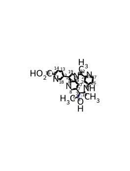 CC(=N)/C(=C(/C)O)c1cnc2c(-c3ccc(C(=O)O)nc3)cn([C@@H](C)c3ccccn3)c2c1